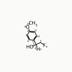 [2H]C(O)(CF)c1ccc(OC)cc1